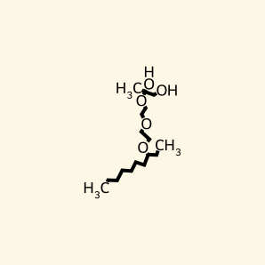 CCCCCCCC(CC)OCCOCCOC(C)(O)CO